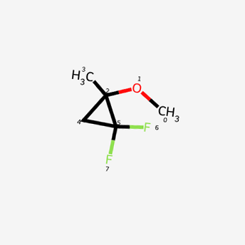 COC1(C)CC1(F)F